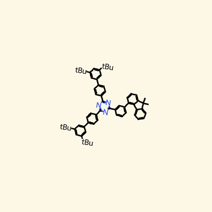 CC(C)(C)c1cc(-c2ccc(-c3nc(-c4ccc(-c5cc(C(C)(C)C)cc(C(C)(C)C)c5)cc4)nc(-c4cccc(-c5cccc6c5-c5ccccc5C6(C)C)c4)n3)cc2)cc(C(C)(C)C)c1